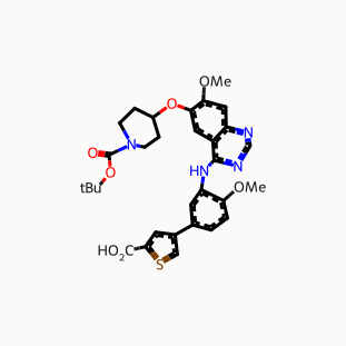 COc1ccc(-c2csc(C(=O)O)c2)cc1Nc1ncnc2cc(OC)c(OC3CCN(C(=O)OC(C)(C)C)CC3)cc12